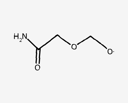 NC(=O)COC[O]